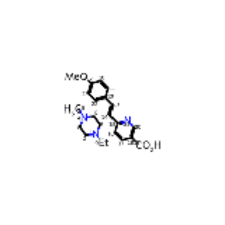 CCN1CCN(C)CC1.COc1ccc(C=Cc2ccc(C(=O)O)cn2)cc1